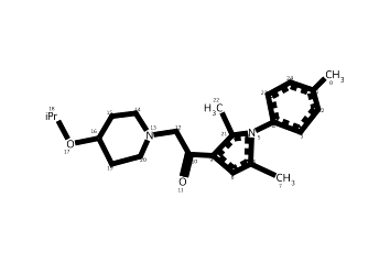 Cc1ccc(-n2c(C)cc(C(=O)CN3CCC(OC(C)C)CC3)c2C)cc1